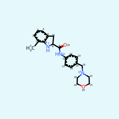 Cc1cccc2c1NC(C(=O)Nc1ccc(CN3CCOCC3)cc1)C2